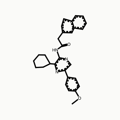 COc1ccc(-c2cnc(NC(=O)Cc3ccc4ccccc4c3)c(C3CCCCC3)n2)cc1